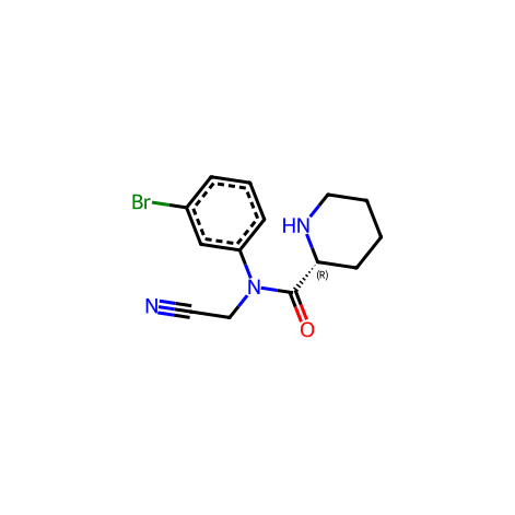 N#CCN(C(=O)[C@H]1CCCCN1)c1cccc(Br)c1